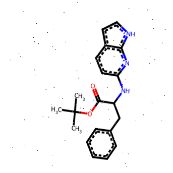 CC(C)(C)OC(=O)C(Cc1ccccc1)Nc1ccc2cc[nH]c2n1